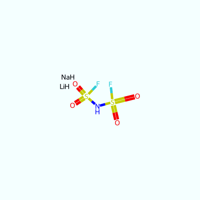 O=S(=O)(F)NS(=O)(=O)F.[LiH].[NaH]